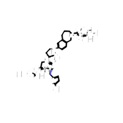 CC(C)OC(=O)CN([C@H]1CCN(c2ccc3c(c2)CCCN(C(=O)OC(C)(C)C)C3)C1=O)S(=O)(=O)/C=C/c1ccc(Cl)s1